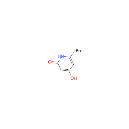 CC(C)(C)c1cc(O)cc(=O)[nH]1